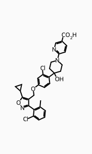 Cc1cccc(Cl)c1-c1noc(C2CC2)c1COc1ccc(C2(O)CCN(c3ccc(C(=O)O)cn3)CC2)c(Cl)c1